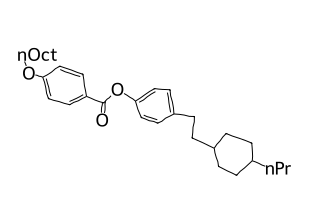 CCCCCCCCOc1ccc(C(=O)Oc2ccc(CCC3CCC(CCC)CC3)cc2)cc1